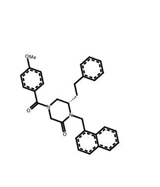 COc1ccc(C(=O)N2CC(=O)N(Cc3cccc4ccccc34)[C@@H](CCc3ccccc3)C2)cc1